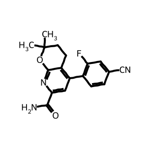 CC1(C)CCc2c(-c3ccc(C#N)cc3F)cc(C(N)=O)nc2O1